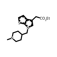 CCOC(=O)Cc1cn(CC2CCN(C)CC2)c2sccc12